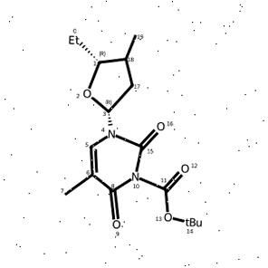 CC[C@H]1O[C@@H](n2cc(C)c(=O)n(C(=O)OC(C)(C)C)c2=O)CC1C